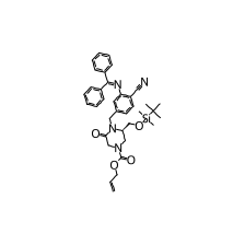 C=CCOC(=O)N1CC(=O)N(Cc2ccc(C#N)c(N=C(c3ccccc3)c3ccccc3)c2)[C@@H](CO[Si](C)(C)C(C)(C)C)C1